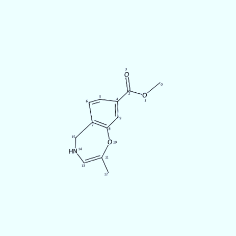 COC(=O)c1ccc2c(c1)OC(C)=CNC2